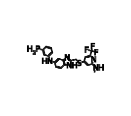 CNc1cc(SCc2nc3cc(Nc4cccc(P)c4)ccc3[nH]2)cc(C(F)(F)F)n1